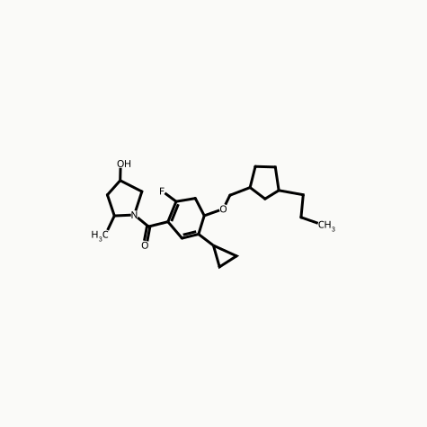 CCCC1CCC(COC2CC(F)=C(C(=O)N3CC(O)CC3C)C=C2C2CC2)C1